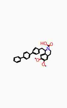 COc1cc2c(cc1OC)C(Cc1ccc(-c3ccc(-c4ccccc4)cc3)cc1)N(C(=O)O)CC2